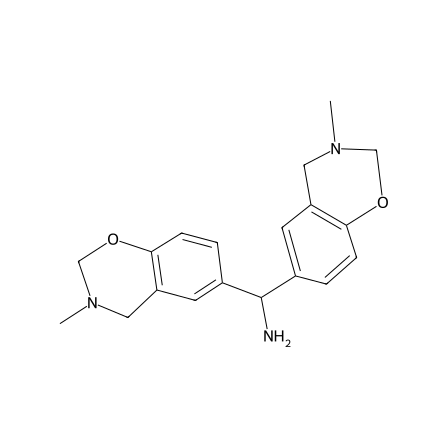 CN1COc2ccc(C(N)c3ccc4c(c3)CN(C)CO4)cc2C1